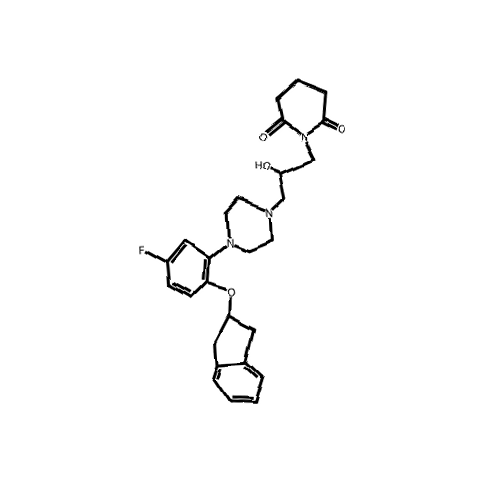 O=C1CCCC(=O)N1CC(O)CN1CCN(c2cc(F)ccc2OC2Cc3ccccc3C2)CC1